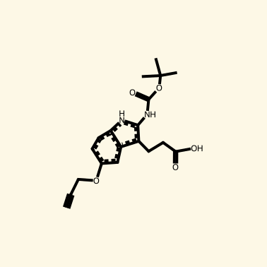 C#CCOc1ccc2[nH]c(NC(=O)OC(C)(C)C)c(CCC(=O)O)c2c1